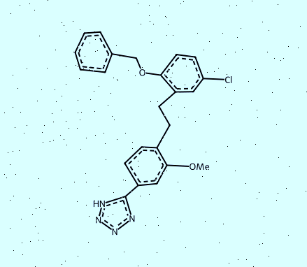 COc1cc(-c2nnn[nH]2)ccc1CCc1cc(Cl)ccc1OCc1ccccc1